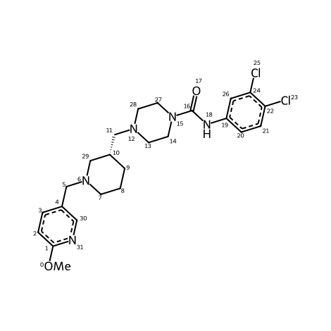 COc1ccc(CN2CCC[C@@H](CN3CCN(C(=O)Nc4ccc(Cl)c(Cl)c4)CC3)C2)cn1